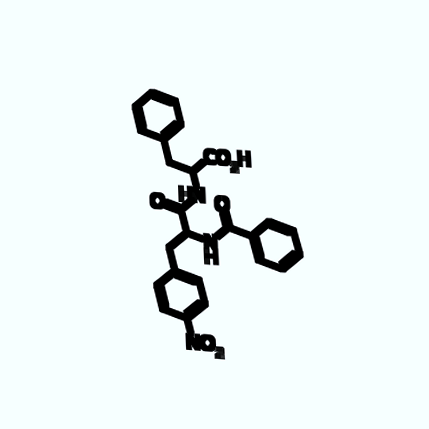 O=C(NC(Cc1ccc([N+](=O)[O-])cc1)C(=O)NC(Cc1ccccc1)C(=O)O)c1ccccc1